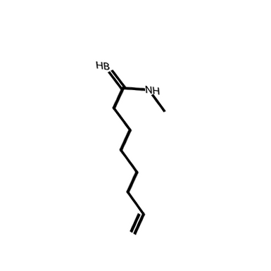 B=C(CCCCCC=C)NC